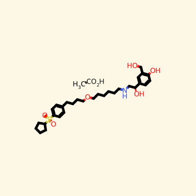 CC(=O)O.O=S(=O)(c1ccc(CCCCOCCCCCCNC[C@H](O)c2ccc(O)c(CO)c2)cc1)C1CCCC1